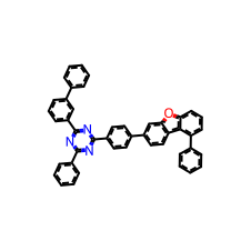 c1ccc(-c2cccc(-c3nc(-c4ccccc4)nc(-c4ccc(-c5ccc6c(c5)oc5cccc(-c7ccccc7)c56)cc4)n3)c2)cc1